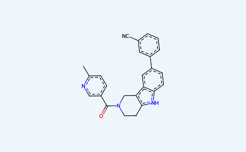 Cc1ccc(C(=O)N2CCc3[nH]c4ccc(-c5cccc(C#N)c5)cc4c3C2)cn1